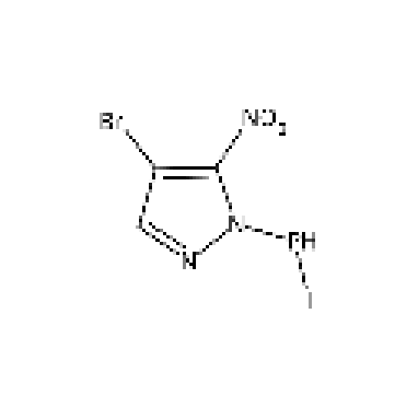 O=[N+]([O-])c1c(Br)cnn1PI